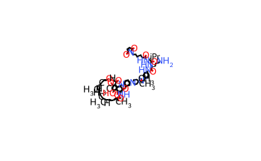 C/C1=C/C=C/[C@H](C)CCC[C@@H](C)CCC/C=C/O[C@H]2Oc3c(C)c(O)c4c(=O)c(c5oc6cc(N7CCC([N+](C)(C)Cc8ccc(NC(=O)[C@H](CCCN)NC(=O)[C@@H](NC(=O)CCCCCN9C(=O)C=CC9=O)C(C)C)cc8)CC7)ccc6nc-5c4c3C2=O)NC1=O